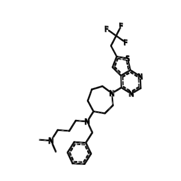 CN(C)CCCN(Cc1ccccc1)C1CCCN(c2ncnc3sc(CC(F)(F)F)cc23)CC1